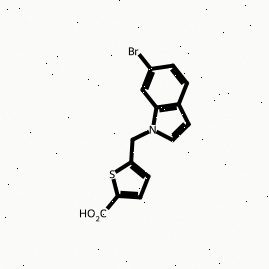 O=C(O)c1ccc(Cn2ccc3ccc(Br)cc32)s1